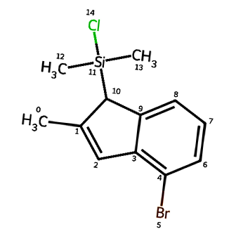 CC1=Cc2c(Br)cccc2C1[Si](C)(C)Cl